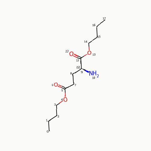 CCCCOC(=O)CC[C@H](N)C(=O)OCCCC